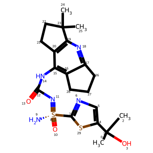 CC(C)(O)c1cnc([S@@](N)(=O)=NC(=O)Nc2c3c(nc4c2CCC4(C)C)CCC3)s1